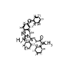 CN(C(=O)CCC(C1CCOCC1)N1Cc2cc(Oc3ccccc3)ccc2N=C1N)C1CCCCC1